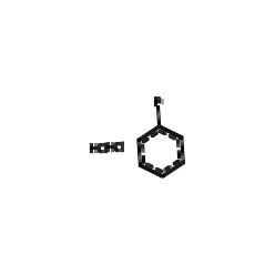 Cl.Cl.[P]c1ccccc1